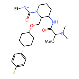 CCNC(=O)N1CCCC(NC(=O)C(OC)N(C)C)C1CO[C@H]1CC[C@@H](c2ccc(F)cc2)CC1